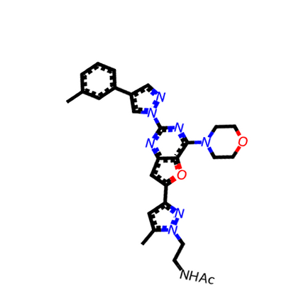 CC(=O)NCCn1nc(-c2cc3nc(-n4cc(-c5cccc(C)c5)cn4)nc(N4CCOCC4)c3o2)cc1C